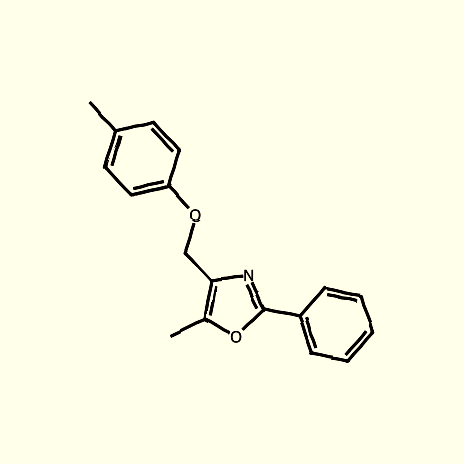 Cc1ccc(OCc2nc(-c3ccccc3)oc2C)cc1